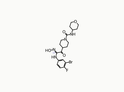 O=C(/C(=N/O)Nc1ccc(F)c(Br)c1)C1CCN(C(=O)NC2CCOCC2)CC1